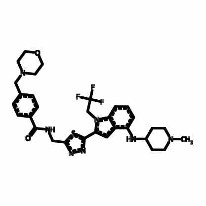 CN1CCC(Nc2cccc3c2cc(-c2nnc(CNC(=O)c4ccc(CN5CCOCC5)cc4)s2)n3CC(F)(F)F)CC1